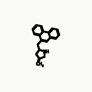 C=C1CNC(Cc2cc3ccccc3c3ccccc23)C1